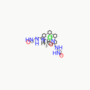 COc1nc(-c2cccc(-c3cccc(-c4ccc5c(CNC[C@H]6CCC(=O)N6)cn(C)c5c4)c3Cl)c2Cl)ccc1CNC[C@H]1CCC(=O)N1